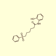 O=C(CCCCCS(=O)(=O)c1ccccc1)Nc1ccccc1O